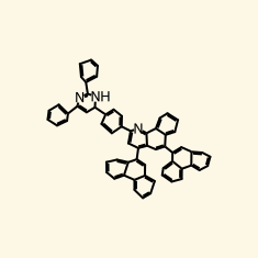 C1=C(c2ccccc2)N=C(c2ccccc2)NC1c1ccc(-c2cc(-c3cc4ccccc4c4ccccc34)c3cc(-c4cc5ccccc5c5ccccc45)c4ccccc4c3n2)cc1